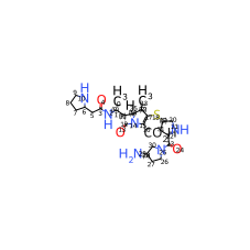 C[C@@H](NC(=O)CC1CCCN1)[C@H]1C(=O)N2C(C(=O)O)=C(S[C@@H]3CNC(C(=O)N4CC[C@H](N)C4)C3)[C@H](C)[C@H]12